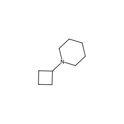 C1CCN([C]2CCC2)CC1